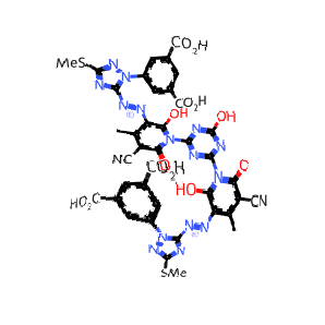 CSc1nc(/N=N/c2c(C)c(C#N)c(=O)n(-c3nc(O)nc(-n4c(O)c(/N=N/c5nc(SC)nn5-c5cc(C(=O)O)cc(C(=O)O)c5)c(C)c(C#N)c4=O)n3)c2O)n(-c2cc(C(=O)O)cc(C(=O)O)c2)n1